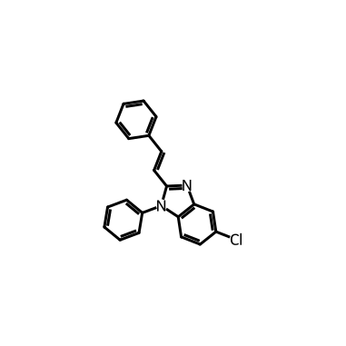 Clc1ccc2c(c1)nc(C=Cc1ccccc1)n2-c1ccccc1